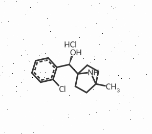 CC12CCC([C@H](O)c3ccccc3Cl)(CC1)N2.Cl